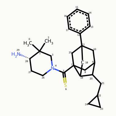 CC1(C)CN(C(=S)C23CC4CC(c5ccccc5)(CC2C4CC2CC2)C3)CC[C@@H]1N